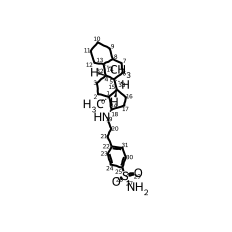 C[C@]12CC[C@H]3[C@@H](CCC4CCCC[C@@]43C)[C@@H]1CC[C@@H]2NCCc1ccc(S(N)(=O)=O)cc1